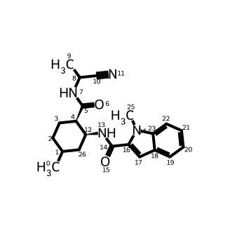 CC1CC[C@@H](C(=O)NC(C)C#N)[C@@H](NC(=O)c2cc3ccccc3n2C)C1